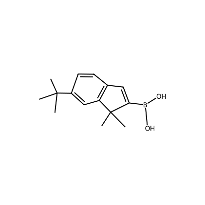 CC(C)(C)c1ccc2c(c1)C(C)(C)C(B(O)O)=C2